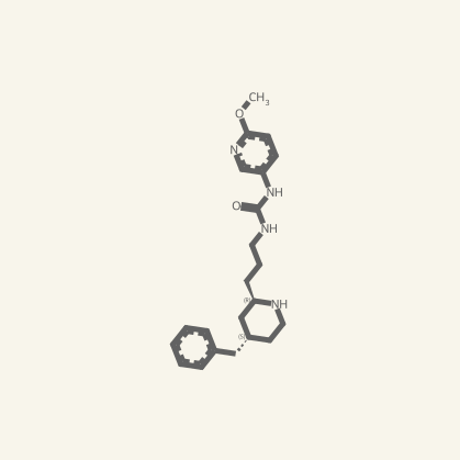 COc1ccc(NC(=O)NCCC[C@@H]2C[C@@H](Cc3ccccc3)CCN2)cn1